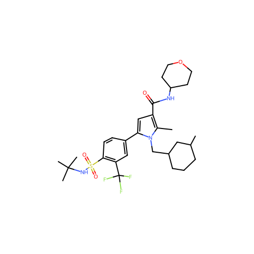 Cc1c(C(=O)NC2CCOCC2)cc(-c2ccc(S(=O)(=O)NC(C)(C)C)c(C(F)(F)F)c2)n1CC1CCCC(C)C1